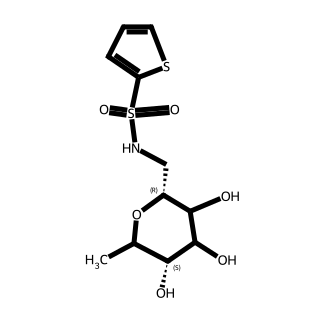 CC1O[C@H](CNS(=O)(=O)c2cccs2)C(O)C(O)[C@@H]1O